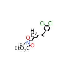 CCOC(=O)C(=O)N(CC(C)C)C(=O)/C=C(C)/C=C/C1CC1c1ccc(Cl)c(Cl)c1